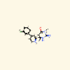 CN1C(=N)NC(C)(c2cc(-c3cccc(Cl)c3)ccn2)CC1=O